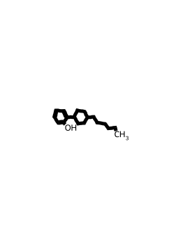 CCCCCCC1CCC(c2ccccc2O)CC1